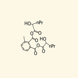 CCCC(O)C(=O)OC(=O)c1cccc(C)c1C(=O)OC(=O)C(O)CCC